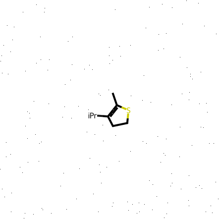 CC1=C(C(C)C)CCS1